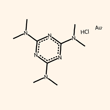 CN(C)c1nc(N(C)C)nc(N(C)C)n1.Cl.[Au]